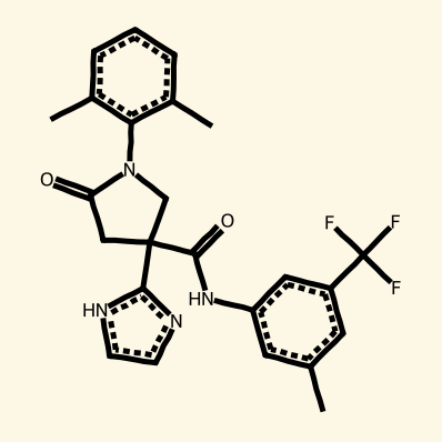 Cc1cc(NC(=O)C2(c3ncc[nH]3)CC(=O)N(c3c(C)cccc3C)C2)cc(C(F)(F)F)c1